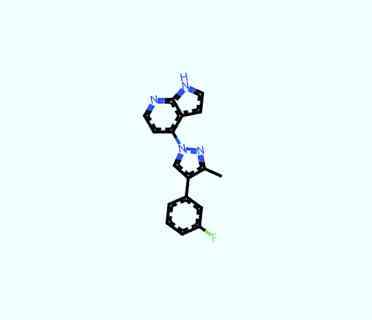 Cc1nn(-c2ccnc3[nH]ccc23)cc1-c1cccc(F)c1